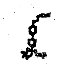 CCCCCCCCCCCCOc1ccc(-c2ncc([C@@]3(OC(=O)O)COC(C)(C)O3)cn2)cc1